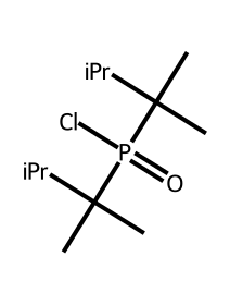 CC(C)C(C)(C)P(=O)(Cl)C(C)(C)C(C)C